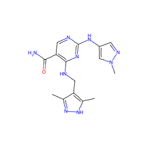 Cc1n[nH]c(C)c1CNc1nc(Nc2cnn(C)c2)ncc1C(N)=O